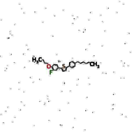 CCCCCCc1ccc(-c2ccc(-c3ccc(OCCCC)c(F)c3)s2)cc1